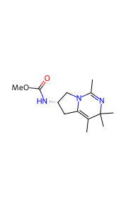 COC(=O)N[C@H]1CC2=C(C)C(C)(C)N=C(C)N2C1